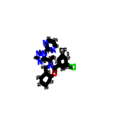 CC(c1ncnn1-c1ncccn1)N(CC1CCCCC1)C(=O)c1cc(Cl)cc(C(F)(F)F)c1